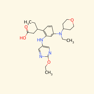 CCOc1ncc(Nc2cc(N(CC)C3CCOCC3)ccc2C(CC)CC(=O)O)cn1